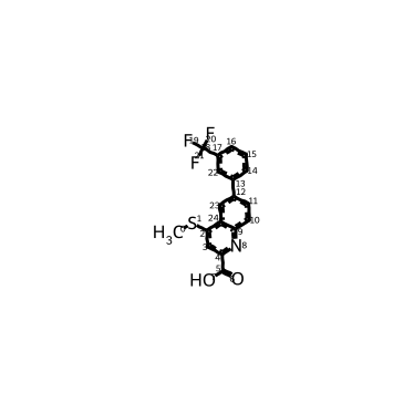 CSc1cc(C(=O)O)nc2ccc(-c3cccc(C(F)(F)F)c3)cc12